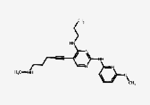 CCCNc1nc(Nc2cccc(OC)n2)ncc1C#CCCCNC